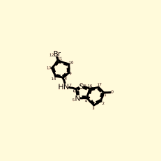 Cc1ccc2nc(Nc3ccc(Br)cc3)sc2c1